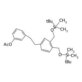 CC(=O)Oc1cccc(CCc2ccc(CO[Si](C)(C)C(C)(C)C)c(CO[Si](C)(C)C(C)(C)C)c2)c1